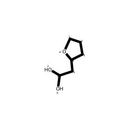 OC(O)CC1CCCO1